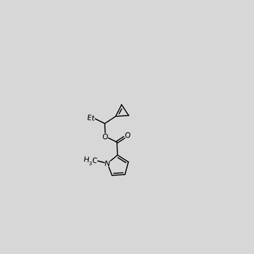 CCC(OC(=O)c1cccn1C)C1=CC1